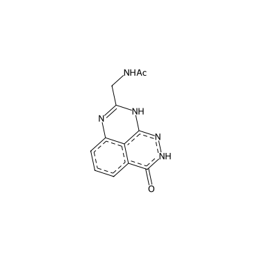 CC(=O)NCC1=Nc2cccc3c(=O)[nH]nc(c23)N1